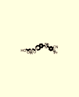 CC(C)Oc1ccc(-c2nc(-c3ccc4c(c3)CCN(C(=O)CNC[C@H](O)CO)CC4)no2)cc1C#N